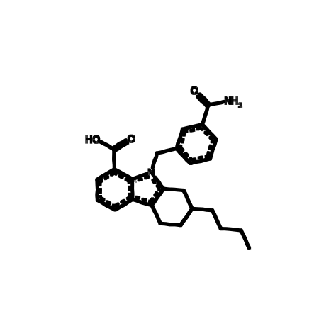 CCCCC1CCc2c(n(Cc3cccc(C(N)=O)c3)c3c(C(=O)O)cccc23)C1